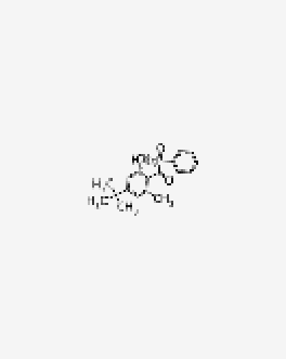 Cc1cc(C(C)(C)C)cc(C)c1C(=O)P(C)(=O)c1ccccc1